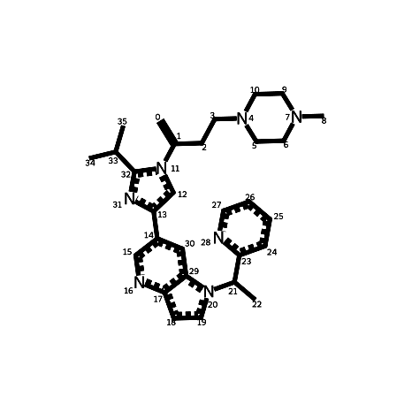 C=C(CCN1CCN(C)CC1)n1cc(-c2cnc3ccn(C(C)c4ccccn4)c3c2)nc1C(C)C